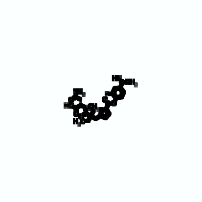 CCC(CC)(Cc1ccc(C(=O)Oc2ccc(C(=N)N)cc2F)s1)C(=O)N[C@@H](CC(N)=O)C(=O)O